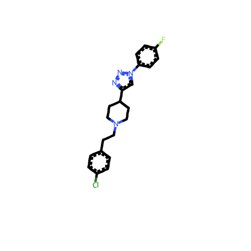 Fc1ccc(-n2cc(C3CCN(CCc4ccc(Cl)cc4)CC3)nn2)cc1